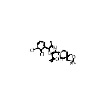 Cc1nc(N2CCC3(CC2)CO[C@@H](C)C3)c(C2(O)CC2)nc1-c1cccc(Cl)c1Cl